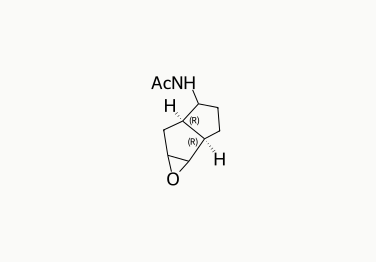 CC(=O)NC1CC[C@H]2C3OC3C[C@@H]12